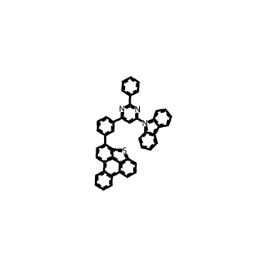 c1ccc(-c2nc(-c3cccc(-c4ccc5c6ccccc6c6cccc7sc4c5c76)c3)cc(-n3c4ccccc4c4ccccc43)n2)cc1